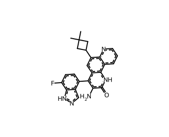 CC1(C)CC(c2cc3c(-c4ccc(F)c5[nH]ncc45)c(N)c(=O)[nH]c3c3cccnc23)C1